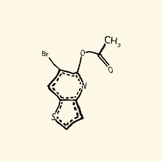 CC(=O)Oc1nc2ccsc2cc1Br